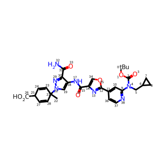 CC(C)(C)OC(=O)N(CC1CC1)c1cc(-c2nc(C(=O)Nc3cn(C4(C)C=CC(C(=O)O)C=C4)nc3C(N)=O)co2)ccn1